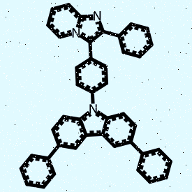 c1ccc(-c2ccc3c(c2)c2cc(-c4ccccc4)ccc2n3-c2ccc(-c3c(-c4ccccc4)nc4ccccn34)cc2)cc1